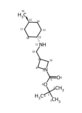 CC(C)(C)OC(=O)N1CC(CN[C@H]2CC[C@H](C)CC2)C1